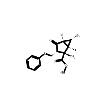 CC(C)(C)OC(=O)[C@@]1(C)[C@H]2[C@@H](C(=O)[C@H]1CSc1ccccc1)[C@@H]2C(C)(C)C